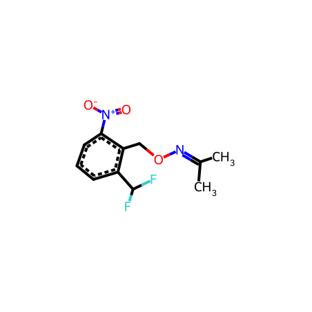 CC(C)=NOCc1c(C(F)F)cccc1[N+](=O)[O-]